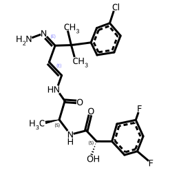 C[C@H](NC(=O)[C@@H](O)c1cc(F)cc(F)c1)C(=O)N/C=C/C(=N\N)C(C)(C)c1cccc(Cl)c1